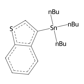 CCC[CH2][Sn]([CH2]CCC)([CH2]CCC)[c]1csc2ccccc12